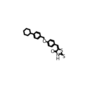 O=C1NC(=S)SC1=Cc1ccc(OCc2ccc(C3CCCCC3)cc2)cc1